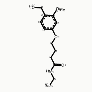 COc1cc(OCCCC(=O)NCC(C)(C)C)ccc1CO